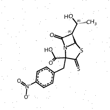 C[C@@H](O)[C@@H]1C(=O)N2C1SC(=S)C2(Cc1ccc([N+](=O)[O-])cc1)C(=O)O